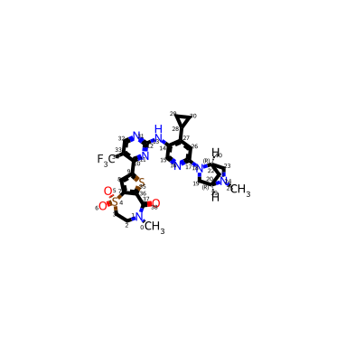 CN1CCS(=O)(=O)c2cc(-c3nc(Nc4cnc(N5C[C@H]6C[C@@H]5CN6C)cc4C4CC4)ncc3C(F)(F)F)sc2C1=O